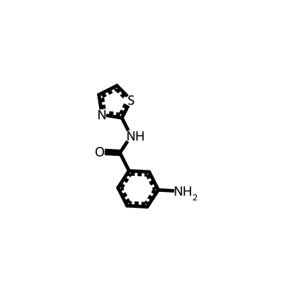 Nc1cccc(C(=O)Nc2nccs2)c1